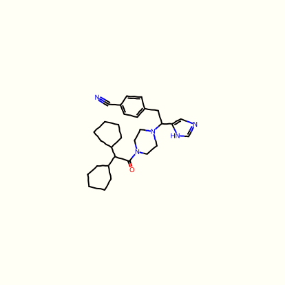 N#Cc1ccc(CC(c2cnc[nH]2)N2CCN(C(=O)C(C3CCCCC3)C3CCCCC3)CC2)cc1